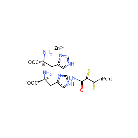 CCCCCC(=S)C(=S)C(N)=O.N[C@@H](Cc1c[nH]cn1)C(=O)[O-].N[C@@H](Cc1c[nH]cn1)C(=O)[O-].[Zn+2]